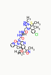 COc1cc2c(cc1-c1c(C)noc1C)ncc1c2n(C(C)c2ccccn2)c(=O)n1CC(=O)NBNC(=O)CC1N=C(c2ccc(Cl)cc2)c2c(sc(C)c2C)-n2c(C)nnc21